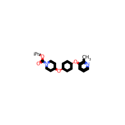 Cc1ncccc1O[C@H]1CC[C@H](OC2CCN(C(=O)OC(C)C)CC2)CC1